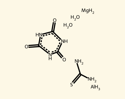 NC(N)=S.O.O.O=c1[nH]c(=O)[nH]c(=O)[nH]1.[AlH3].[MgH2]